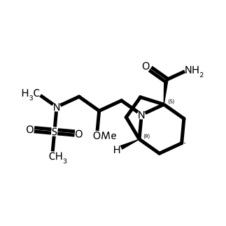 COC(CN1[C@@H]2C[CH]C[C@@]1(C(N)=O)CC2)CN(C)S(C)(=O)=O